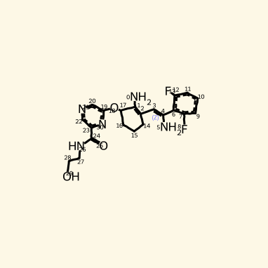 NC1=C(/C=C(\N)c2c(F)cccc2F)CCCC1Oc1cncc(C(=O)NCCO)n1